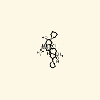 CCBr.C[C@]12C[C@H](N3CCCCC3)[C@@H](O)C[C@@H]1CC[C@@H]1[C@@H]2CC[C@]2(C)[C@H](O)[C@@H](N3CCCCC3)C[C@@H]12